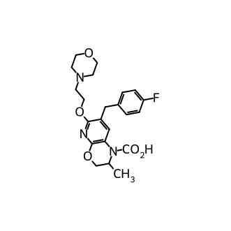 CC1COc2nc(OCCN3CCOCC3)c(Cc3ccc(F)cc3)cc2N1C(=O)O